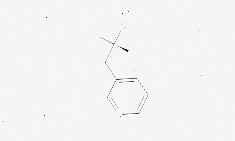 C[C@](N)(Cc1cccnc1)C(=O)O